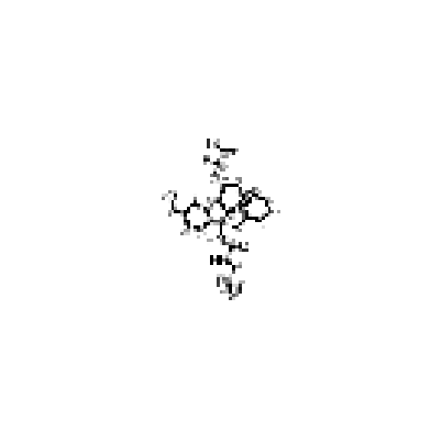 O=Cc1ccc([C@@](Cc2ccccc2)(NC(=O)NCC(F)(F)F)c2cc(F)cc(OC(F)(F)C(F)F)c2)cc1